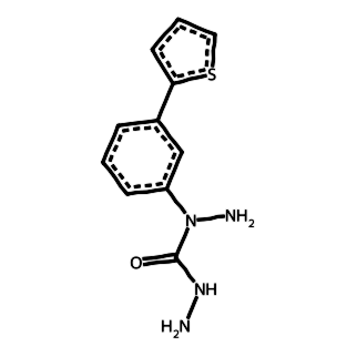 NNC(=O)N(N)c1cccc(-c2cccs2)c1